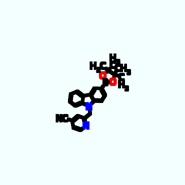 CC1(C)OB(c2ccc3c(c2)c2ccccc2n3Cc2cc(C#N)ccn2)OC1(C)C